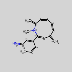 C=c1ccccc(=C)n(C)c(C(/C=C\C)=C/C=N)c1